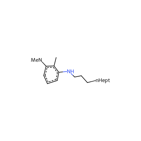 CCCCCCCCCCNc1cccc(NC)c1C